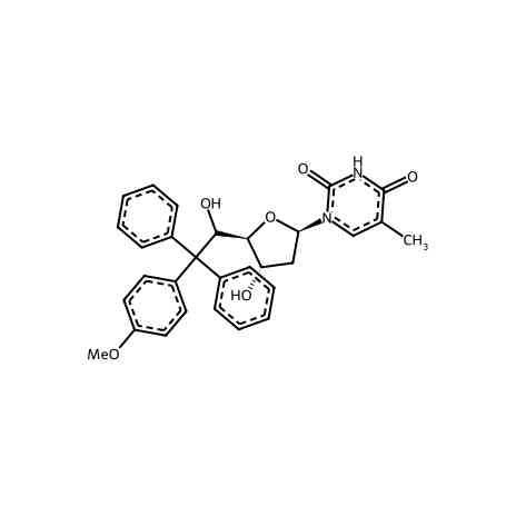 COc1ccc(C(c2ccccc2)(c2ccccc2)C(O)[C@H]2O[C@@H](n3cc(C)c(=O)[nH]c3=O)C[C@@H]2O)cc1